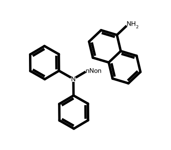 CCCCCCCCCN(c1ccccc1)c1ccccc1.Nc1cccc2ccccc12